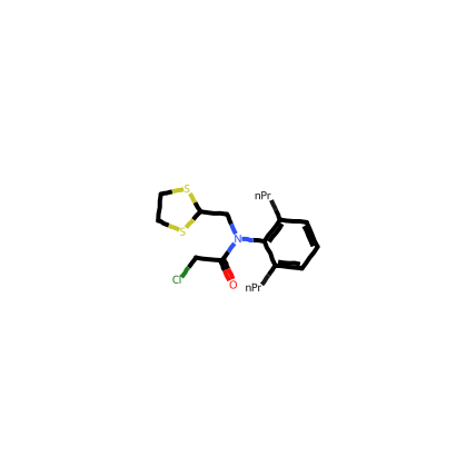 CCCc1cccc(CCC)c1N(CC1SCCS1)C(=O)CCl